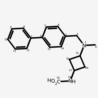 CN(Cc1ccc(-c2ccccc2)cc1)C1CC(NC(=O)O)C1